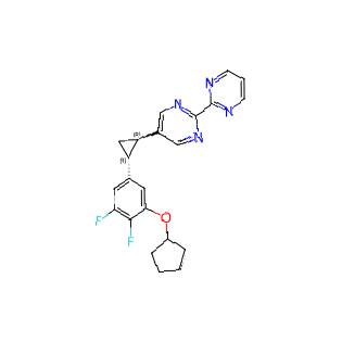 Fc1cc([C@@H]2C[C@H]2c2cnc(-c3ncccn3)nc2)cc(OC2CCCC2)c1F